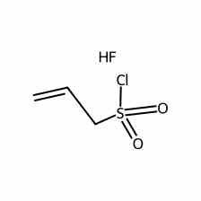 C=CCS(=O)(=O)Cl.F